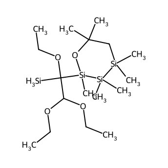 CCOC(OCC)C([SiH3])(OCC)[Si]1(C)OC(C)(C)C[Si](C)(C)[Si]1(C)C